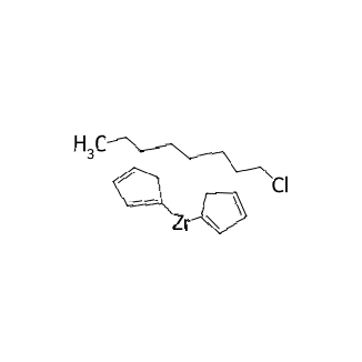 C1=CC[C]([Zr][C]2=CC=CC2)=C1.CCCCCCCCCl